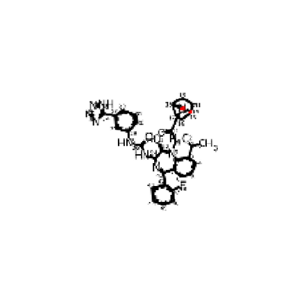 CC(C)c1cccc2c1N(CC(=O)N1CC3CCC(CC3)C1)C(=O)C(NC(=O)Nc1cccc(-c3nnn[nH]3)c1)N=C2c1ccccc1F